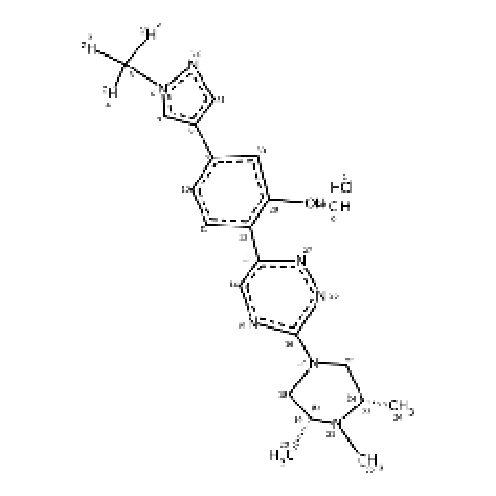 Cl.Cl.[2H]C([2H])([2H])n1cc(-c2ccc(-c3cnc(N4C[C@@H](C)N(C)[C@@H](C)C4)nn3)c(O)c2)cn1